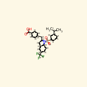 CC(C)c1cccc(S(=O)(=O)n2c(Cc3ccc(C(=O)O)cc3)cc3cc(C(F)(F)F)ccc32)c1